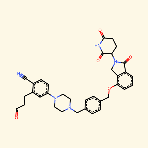 N#Cc1ccc(N2CCN(Cc3ccc(COc4cccc5c4CN(C4CCC(=O)NC4=O)C5=O)cc3)CC2)cc1CCC=O